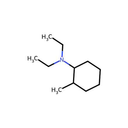 CCN(CC)C1CCCCC1C